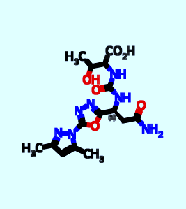 Cc1cc(C)n(-c2nnc([C@H](CC(N)=O)NC(=O)NC(C(=O)O)C(C)O)o2)n1